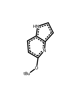 CC(C)(C)Oc1ccc2[nH]ccc2n1